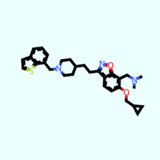 CN(C)Cc1c(OCC2CC2)ccc2c(CCC3CCN(Cc4cccc5ccsc45)CC3)noc12